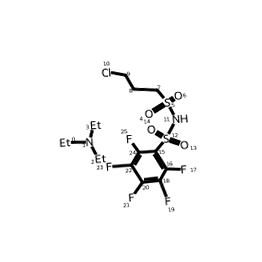 CCN(CC)CC.O=S(=O)(CCCCl)NS(=O)(=O)c1c(F)c(F)c(F)c(F)c1F